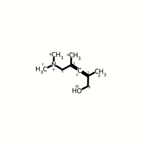 CC(=C=C(C)CN(C)C)CO